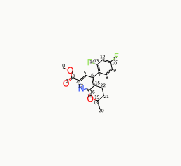 COC(=O)c1cc(-c2ccc(F)cc2F)c2c(n1)O[C@H](C)CC2